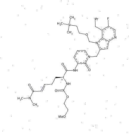 COCCOC(=O)N[C@@H](CC/C=C/C(=O)N(C)C)C(=O)Nc1cccn(Cc2cc3ncc(F)c(CC(C)C)c3n2COCC[Si](C)(C)C)c1=O